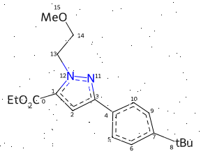 CCOC(=O)c1cc(-c2ccc(C(C)(C)C)cc2)nn1CCOC